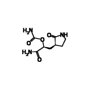 NC(=O)O[C@@H](C[C@@H]1CCNC1=O)C(N)=O